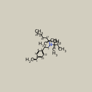 C=Cc1ccc(CCN(C(C)(C)CC)C(C)(C)CCCCC)cc1